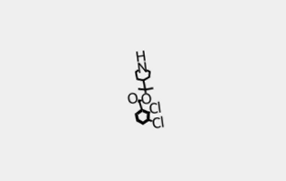 CC(C)(OC(=O)c1cccc(Cl)c1Cl)C1CCNCC1